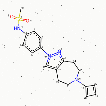 CS(=O)(=O)Nc1ccc(-n2cc3c(n2)CCN(C2=CC=C2)CC3)cc1